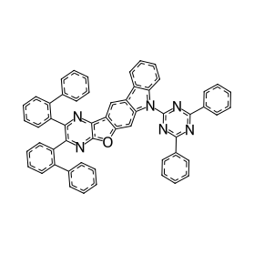 c1ccc(-c2nc(-c3ccccc3)nc(-n3c4ccccc4c4cc5c(cc43)oc3nc(-c4ccccc4-c4ccccc4)c(-c4ccccc4-c4ccccc4)nc35)n2)cc1